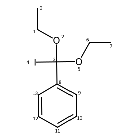 CCOC(I)(OCC)c1ccccc1